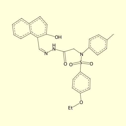 CCOc1ccc(S(=O)(=O)N(CC(=O)N/N=C\c2c(O)ccc3ccccc23)c2ccc(C)cc2)cc1